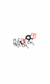 Cc1c(B2OC(C)(C)C(C)(C)O2)ccc(O)c1C=O